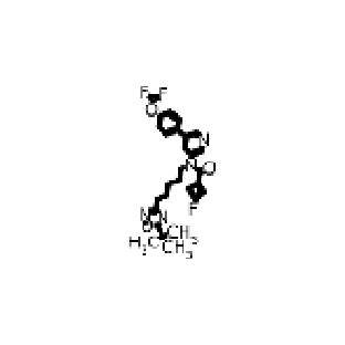 CC(C)(C)c1nc(CCCCCN(C(=O)C23CC(F)(C2)C3)c2cncc(-c3ccc(OC(F)F)cc3)c2)no1